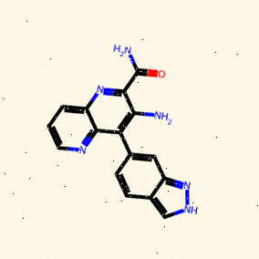 NC(=O)c1nc2cccnc2c(-c2ccc3c[nH]nc3c2)c1N